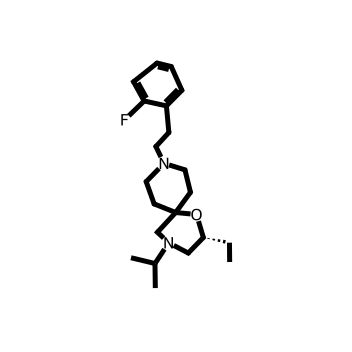 CC[C@@H]1CN(C(C)C)CC2(CCN(CCc3ccccc3F)CC2)O1